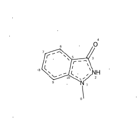 Cn1[nH]c(=O)c2[c]cccc21